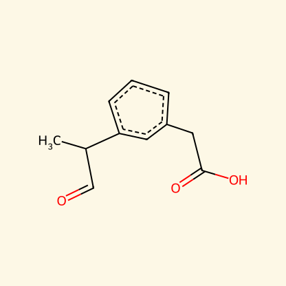 CC(C=O)c1cccc(CC(=O)O)c1